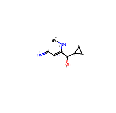 CC(C)N/C(=C\C=N)C(O)C1CC1